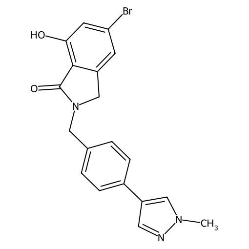 Cn1cc(-c2ccc(CN3Cc4cc(Br)cc(O)c4C3=O)cc2)cn1